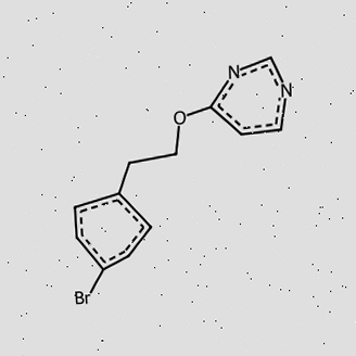 Brc1ccc(CCOc2ccncn2)cc1